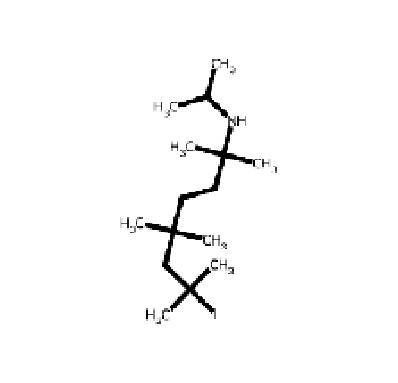 CC(C)NC(C)(C)CCC(C)(C)CC(C)(C)I